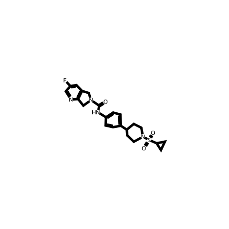 O=C(Nc1ccc(C2CCN(S(=O)(=O)C3CC3)CC2)cc1)N1Cc2cc(F)cnc2C1